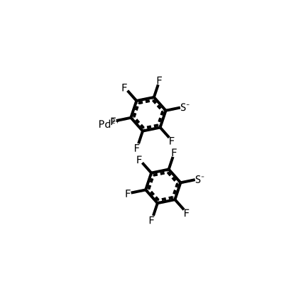 Fc1c(F)c(F)c([S-])c(F)c1F.Fc1c(F)c(F)c([S-])c(F)c1F.[Pd+2]